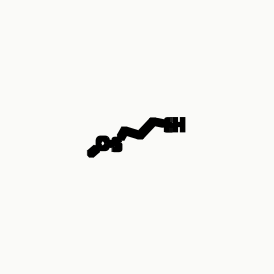 COSCCCS